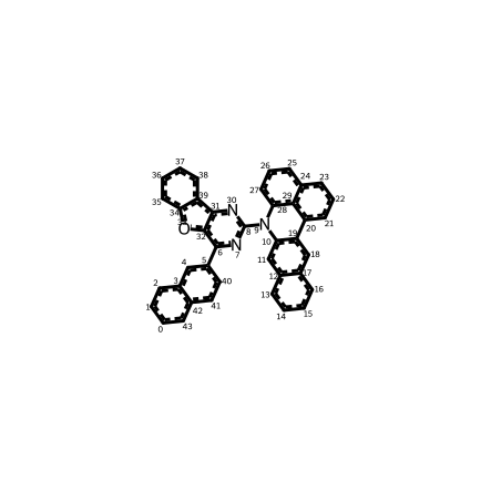 c1ccc2cc(-c3nc(N4c5cc6ccccc6cc5-c5cccc6cccc4c56)nc4c3oc3ccccc34)ccc2c1